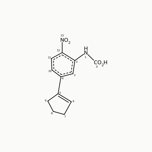 O=C(O)Nc1cc(C2=CCCC2)ccc1[N+](=O)[O-]